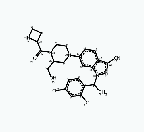 CC(c1ccc(Cl)cc1Cl)n1nc(C#N)c2ccc(N3CCN(C(=O)C4CCN4)C(CO)C3)cc21